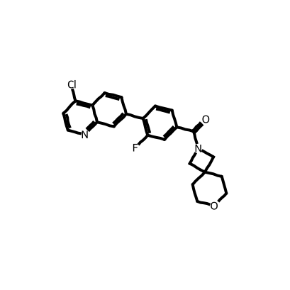 O=C(c1ccc(-c2ccc3c(Cl)ccnc3c2)c(F)c1)N1CC2(CCOCC2)C1